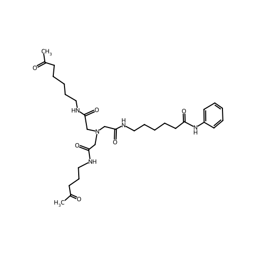 CC(=O)CCCCCNC(=O)CN(CC(=O)NCCCCCC(=O)Nc1ccccc1)CC(=O)NCCCC(C)=O